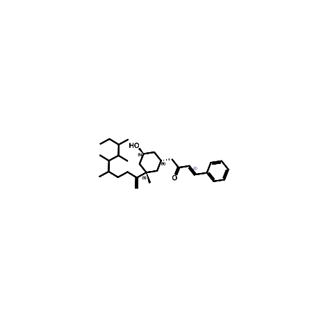 C=C(CCC(C)C(C)C(C)C(C)CC)[C@]1(C)C[C@@H](O)C[C@H](CC(=O)/C=C/c2ccccc2)C1